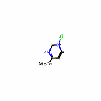 COC1=NCN(Cl)C=C1